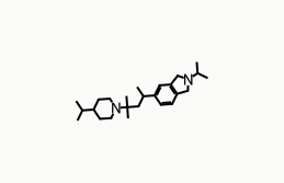 CC(CC(C)(C)N1CCC(C(C)C)CC1)c1ccc2c(c1)CN(C(C)C)C2